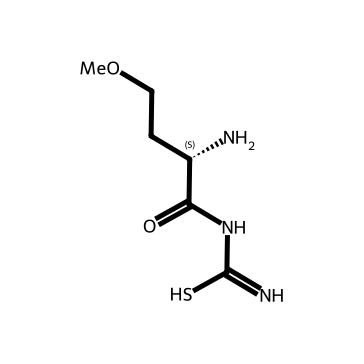 COCC[C@H](N)C(=O)NC(=N)S